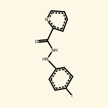 O=C(NNc1ccc(I)cc1)c1ccccn1